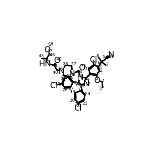 CCOc1cc(C(C)(C)C#N)c(Cl)cc1C1=N[C@@H](c2ccc(Cl)cc2)[C@@H](c2ccc(Cl)cc2)N1C(=O)N1CCN(CC(=O)NC(C)COC)CC1